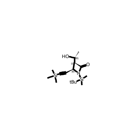 C[C@@H](O)[C@H]1C(=O)N([Si](C)(C)C(C)(C)C)[C@H]1C#C[Si](C)(C)C